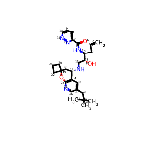 C=CC[C@H](NC(=O)c1cccnn1)[C@H](O)CN[C@H]1CC2(CCC2)Oc2ncc(CC(C)(C)C)cc21